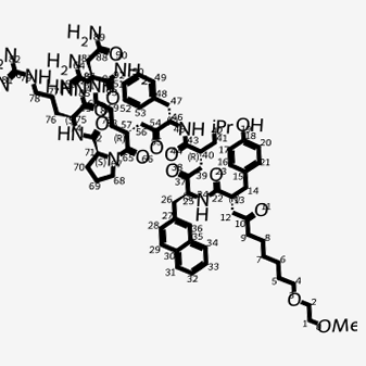 COCCOCCCCCCC(=O)C[C@@H](Cc1ccc(O)cc1)C(=O)N[C@@H](Cc1ccc2ccccc2c1)C(=O)C[C@@H](CC(C)C)C(=O)N[C@@H](Cc1ccccc1)C(=O)C[C@@H](CCCNC(=N)N)C(=O)N1CCC[C@H]1C(=O)N[C@@H](CCCNC(=N)N)C(=O)N[C@@H](CC(N)=O)C(N)=O